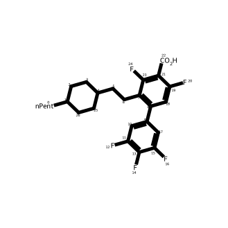 CCCCCC1CCC(CCc2c(-c3cc(F)c(F)c(F)c3)cc(F)c(C(=O)O)c2F)CC1